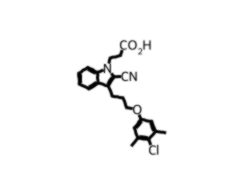 Cc1cc(OCCCc2c(C#N)n(CCC(=O)O)c3ccccc23)cc(C)c1Cl